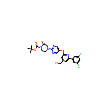 C[C@H]1CN(c2ncc(Oc3cc(CO)cc(-c4cc(Cl)cc(Cl)c4)n3)cn2)CCN1C(=O)OC(C)(C)C